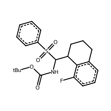 CC(C)(C)OC(=O)NC(C1CCCc2cccc(F)c21)S(=O)(=O)c1ccccc1